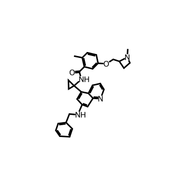 Cc1ccc(OCC2CCN2C)cc1C(=O)NC1(c2cc(NCc3ccccc3)cc3ncccc23)CC1